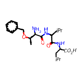 CC(C)CC(NC(=O)C(NC(=O)C(N)C(C)OCc1ccccc1)C(C)C)C(=O)O